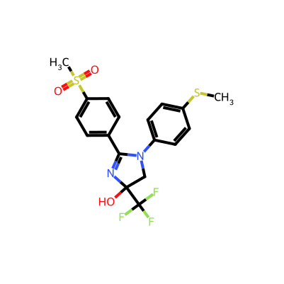 CSc1ccc(N2CC(O)(C(F)(F)F)N=C2c2ccc(S(C)(=O)=O)cc2)cc1